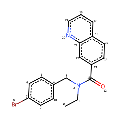 CCN(Cc1ccc(Br)cc1)C(=O)c1ccc2cccnc2c1